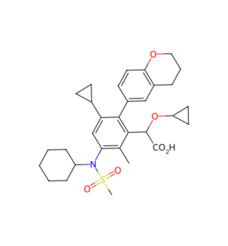 Cc1c(N(C2CCCCC2)S(C)(=O)=O)cc(C2CC2)c(-c2ccc3c(c2)CCCO3)c1C(OC1CC1)C(=O)O